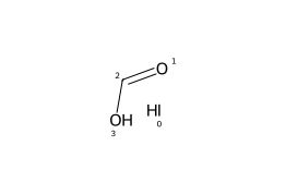 I.O=CO